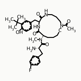 CC(=O)N1CCCC[C@H](N(C)C(=O)[C@@H](N)Cc2ccc(F)cc2)C(=O)NC(Cc2ccc(O)c(C(C)(C)C)c2)C(=O)NCCC1